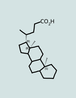 CC(CCC(=O)O)[C@H]1CCC2C3CCC4CCCC[C@]4(C)C3CC[C@@]21C